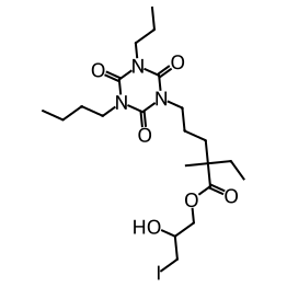 CCCCn1c(=O)n(CCC)c(=O)n(CCCC(C)(CC)C(=O)OCC(O)CI)c1=O